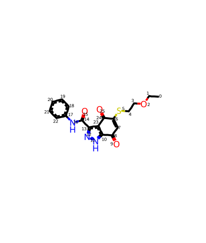 CCOCCSC1=CC(=O)c2[nH]nc(C(=O)Nc3ccccc3)c2C1=O